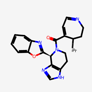 CC(C)C1CCN=CC=C1C(=O)N1CCc2[nH]cnc2[C@H]1c1nc2ccccc2o1